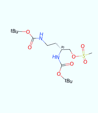 CC(C)(C)OC(=O)NCC[C@H](COS(C)(=O)=O)NC(=O)OC(C)(C)C